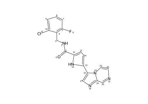 O=C(NCc1c(F)cccc1Cl)c1ccc(-c2cnc3cnccn23)[nH]1